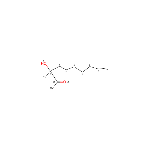 CCCCCCCC(C)(O)C(C)=O